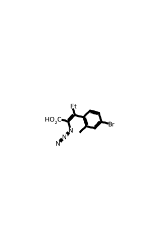 CCC(=C(N=[N+]=[N-])C(=O)O)c1ccc(Br)cc1C